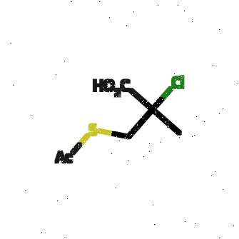 CC(=O)SCC(C)(Cl)C(=O)O